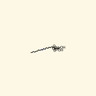 CCCCCCCC/C=C/CCCCCCCC(=O)OP(=O)(O)OC[C@H](O)CO